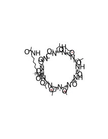 CC[C@@H]1NC(=O)[C@H]([C@H](O)[C@H](C)CCCCCCNC(C)=O)N(C)C(=O)[C@H](C(C)C)N(C)C(=O)[C@H](CC(C)C)N(C)C(=O)[C@H](CC(C)C)N(C)C(=O)[C@H](C)NC(=O)[C@@H](C)NC(=O)[C@@H](CC(C)C)N(C)C(=O)[C@@H](C(C)C)NC(=O)[C@H](CC(C)C)N(C)C(=O)CN(C)C1=O